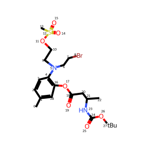 Cc1ccc(N(CCBr)CCOS(C)(=O)=O)c(OC(=O)CC(C)NC(=O)OC(C)(C)C)c1